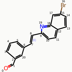 O=Cc1cccc(/C=C/c2ccc3ccc(Br)cc3n2)c1